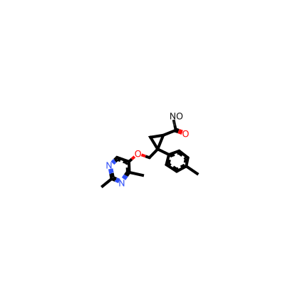 Cc1ccc(C2(COc3cnc(C)nc3C)CC2C(=O)N=O)cc1